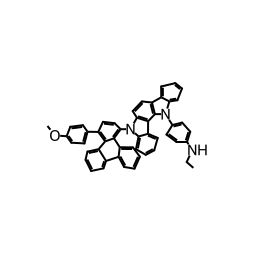 CCNc1ccc(-n2c3ccccc3c3ccc4c(c5ccccc5n4-c4ccc(-c5ccc(OC)cc5)c5c6ccccc6c6ccccc6c45)c32)cc1